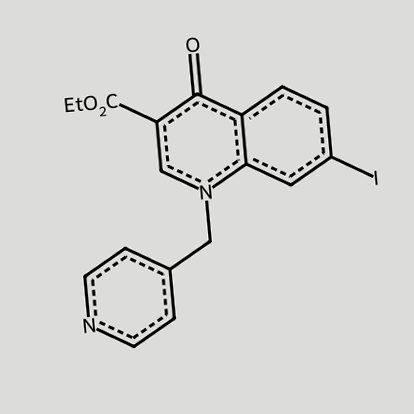 CCOC(=O)c1cn(Cc2ccncc2)c2cc(I)ccc2c1=O